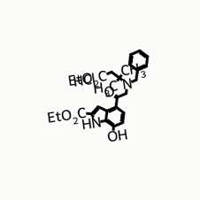 CCOC(=O)CC(C)(C)N(CC(=O)c1ccc(O)c2[nH]c(C(=O)OCC)cc12)Cc1ccccc1.Cl